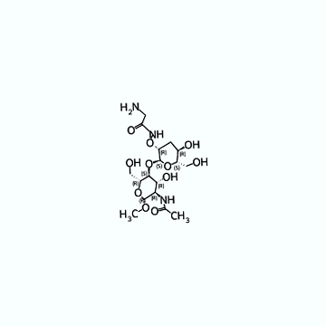 CO[C@@H]1O[C@H](CO)[C@@H](O[C@@H]2O[C@@H](CO)[C@H](O)C[C@H]2ONC(=O)CN)[C@H](O)[C@H]1NC(C)=O